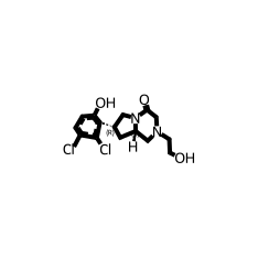 O=C1CN(CCO)C[C@@H]2C[C@H](c3c(O)ccc(Cl)c3Cl)CN12